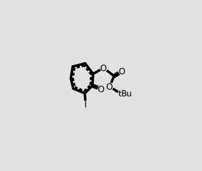 CC(C)(C)OC(=O)Oc1ccccc(I)c1=O